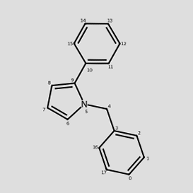 c1ccc(Cn2cccc2-c2ccccc2)cc1